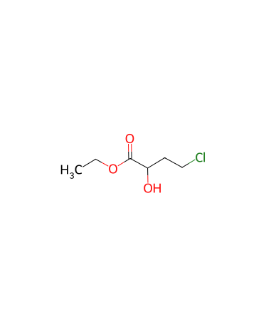 CCOC(=O)C(O)CCCl